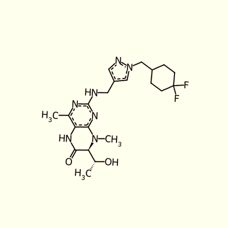 Cc1nc(NCc2cnn(CC3CCC(F)(F)CC3)c2)nc2c1NC(=O)[C@H]([C@@H](C)O)N2C